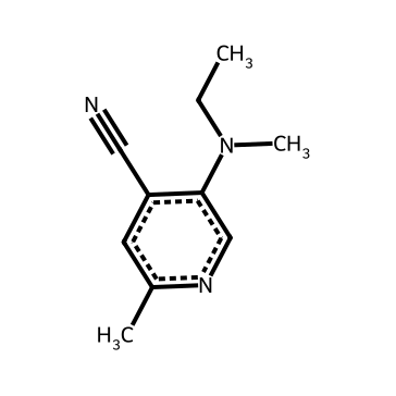 CCN(C)c1cnc(C)cc1C#N